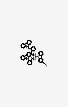 N#Cc1ccc2c(c1)c1ccccc1n2-c1nc(Cc2ccccc2Cn2c3ccccc3c3ccccc32)nc(-c2ccccc2-n2c3ccccc3c3ccccc32)n1